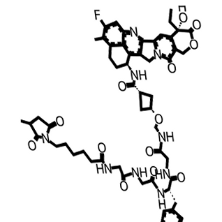 CC[C@@]1(O)C(=O)OCc2c1cc1n(c2=O)Cc2c-1nc1cc(F)c(C)c3c1c2[C@@H](NC(=O)[C@H]1C[C@@H](OCNC(=O)CNC(=O)[C@H](Cc2ccccc2)NC(=O)CNC(=O)CNC(=O)CCCCCN2C(=O)CC(C)C2=O)C1)CC3